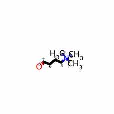 C[N+](C)(C)CCCC=O